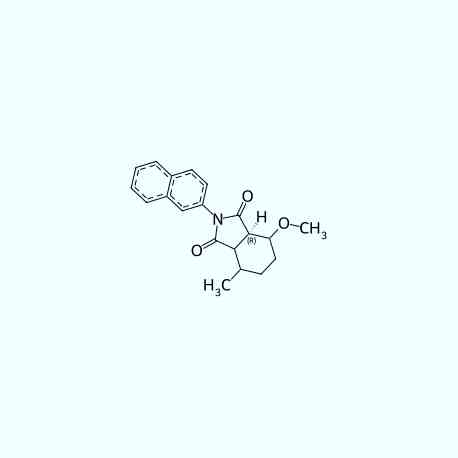 COC1CCC(C)C2C(=O)N(c3ccc4ccccc4c3)C(=O)[C@@H]12